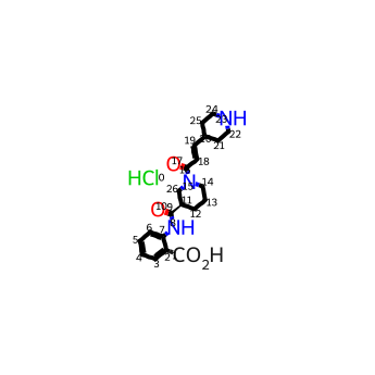 Cl.O=C(O)c1ccccc1NC(=O)[C@@H]1CCCN(C(=O)C=CC2CCNCC2)C1